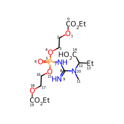 CCOC(=O)OCCOP(=O)(NC(=N)N(C)C(CC)C(=O)O)OCCOC(=O)OCC